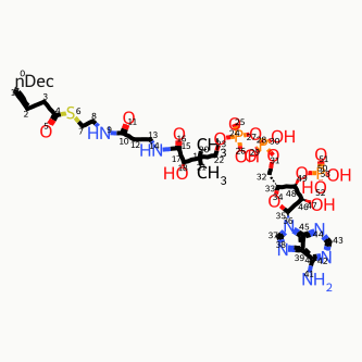 CCCCCCCCCC/C=C\CC(=O)SCCNC(=O)CCNC(=O)[C@H](O)C(C)(C)COP(=O)(O)OP(=O)(O)OC[C@H]1O[C@@H](n2cnc3c(N)ncnc32)[C@H](O)[C@@H]1OP(=O)(O)O